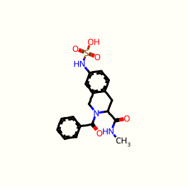 CNC(=O)C1Cc2ccc(NS(=O)(=O)O)cc2CN1C(=O)c1ccccc1